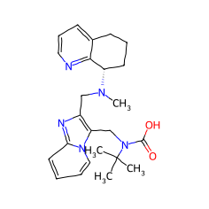 CN(Cc1nc2ccccn2c1CN(C(=O)O)C(C)(C)C)[C@H]1CCCc2cccnc21